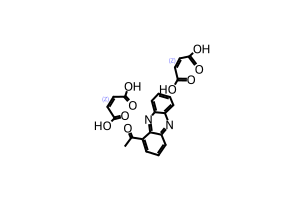 CC(=O)c1cccc2nc3ccccc3nc12.O=C(O)/C=C\C(=O)O.O=C(O)/C=C\C(=O)O